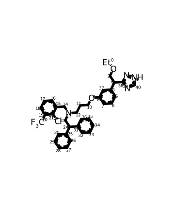 CCOCC(c1cccc(OCCCN(Cc2cccc(C(F)(F)F)c2Cl)CC(c2ccccc2)c2ccccc2)c1)c1nc[nH]n1